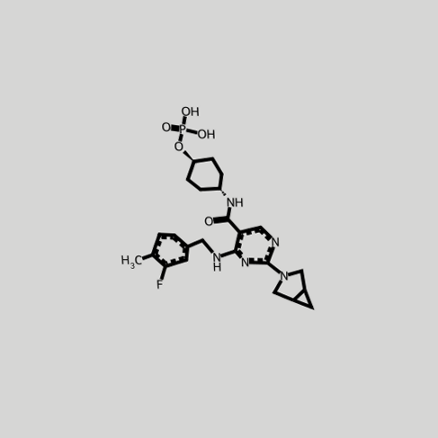 Cc1ccc(CNc2nc(N3CC4CC4C3)ncc2C(=O)N[C@H]2CC[C@H](OP(=O)(O)O)CC2)cc1F